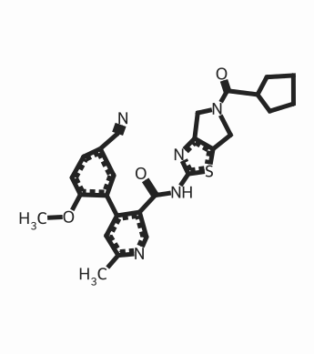 COc1ccc(C#N)cc1-c1cc(C)ncc1C(=O)Nc1nc2c(s1)CN(C(=O)C1CCCC1)C2